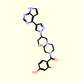 CCC(CN1CCN(C(=O)c2ccc(O)cc2F)CC1)n1cc(-c2ncnc3[nH]ccc23)cn1